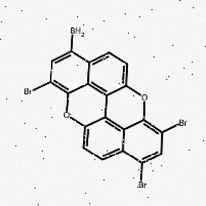 Bc1cc(Br)c2oc3ccc4c(Br)cc(Br)c5oc6ccc1c2c6-c3c45